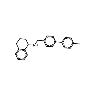 Fc1ccc(-c2ccc(CN[C@H]3CCCc4ccccc43)cc2)cc1